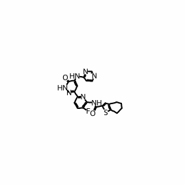 O=C(Nc1nc(-c2cc(Nc3ccncn3)c(=O)[nH]n2)ccc1F)c1cc2c(s1)CCCC2